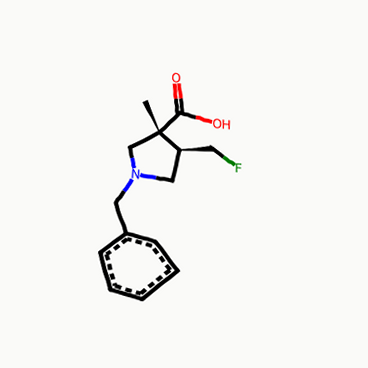 C[C@]1(C(=O)O)CN(Cc2ccccc2)C[C@@H]1CF